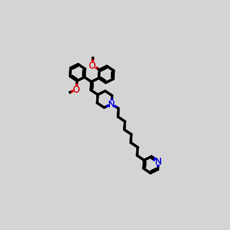 COc1ccccc1C(=CC1CCN(CCCCCCCCc2cccnc2)CC1)c1ccccc1OC